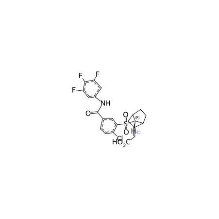 O=C(O)/C=C1\CC2CCC1[C@@H]2S(=O)(=O)c1cc(C(=O)Nc2cc(F)c(F)c(F)c2)ccc1Cl